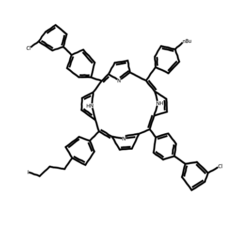 CCCCc1ccc(-c2c3nc(c(-c4ccc(-c5cccc(Cl)c5)cc4)c4ccc([nH]4)c(-c4ccc(CCCI)cc4)c4nc(c(-c5ccc(-c6cccc(Cl)c6)cc5)c5ccc2[nH]5)C=C4)C=C3)cc1